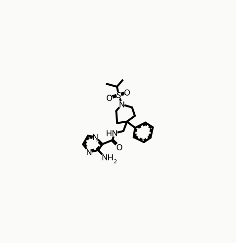 CC(C)S(=O)(=O)N1CCC(CNC(=O)c2nccnc2N)(c2ccccc2)CC1